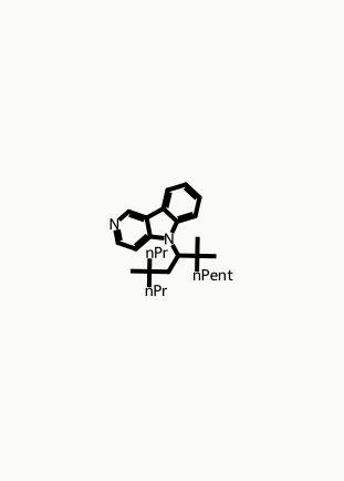 CCCCCC(C)(C)C(CC(C)(CCC)CCC)n1c2ccccc2c2cnccc21